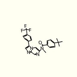 CN(C(=O)c1ccc(C(C)(C)C)cc1)c1cn2c(-c3ccc(C(F)(F)F)cc3)cnc2cn1